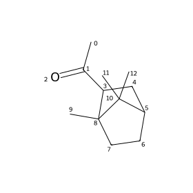 CC(=O)C1CC2CCC1(C)C2(C)C